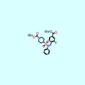 COC(=O)c1ccc(CN(c2ccccc2)S(=O)(=O)C2CCN(C(=O)OC(C)(C)C)CC2)c(F)c1